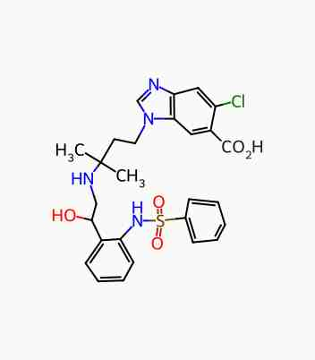 CC(C)(CCn1cnc2cc(Cl)c(C(=O)O)cc21)NCC(O)c1ccccc1NS(=O)(=O)c1ccccc1